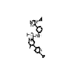 Cc1cnc(C(O)Nc2cccc(-c3nncn3C3CC3)c2)cc1-c1ccc(C2CC2)nc1